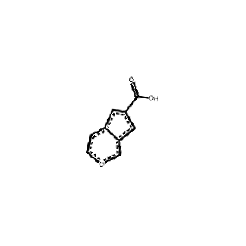 O=C(O)c1cc2ccocc-2c1